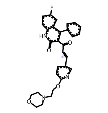 O=C(/C=C/c1ccc(OCCN2CCOCC2)nc1)c1c(-c2ccccc2)c2cc(F)ccc2[nH]c1=O